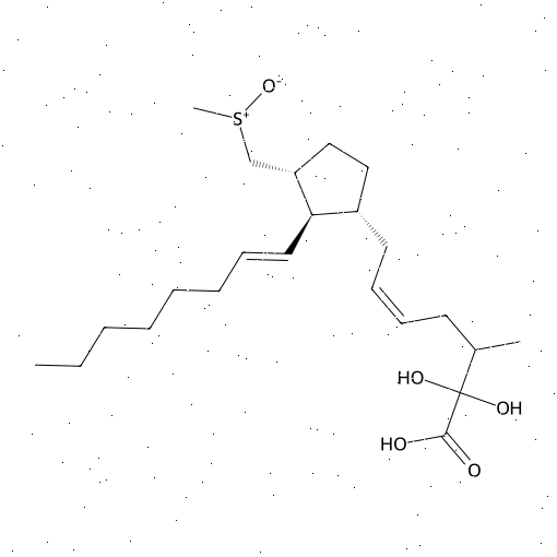 CCCCCC/C=C/[C@@H]1[C@@H](C/C=C\CC(C)C(O)(O)C(=O)O)CC[C@H]1C[S+](C)[O-]